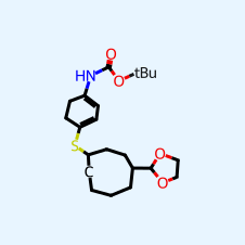 CC(C)(C)OC(=O)NC1=CC=C(SC2CCCCC(C3OCCO3)CC2)CC1